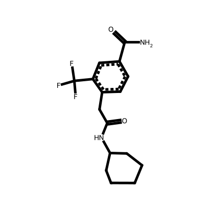 NC(=O)c1ccc(CC(=O)NC2CCCCC2)c(C(F)(F)F)c1